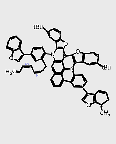 C=C/C=C\C=C/Cc1cc(-c2coc3ccccc23)ccc1N1c2cccc3c2B(c2oc4ccc(C(C)(C)C)cc4c21)c1oc2ccc(C(C)(C)C)cc2c1N3c1ccc(-c2coc3c2C=CCC3C)cc1-c1ccccc1